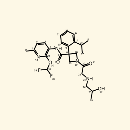 Cc1ccc(NC(=O)C2(c3ccccc3C(C)C)CN(C(=O)CNCC(C)O)C2)c(OC(F)F)n1